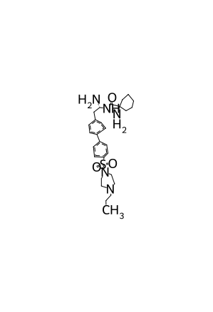 CCCN1CCN(S(=O)(=O)c2ccc(-c3ccc(C[C@H](N)NC(=O)C4(N)CCCCC4)cc3)cc2)CC1